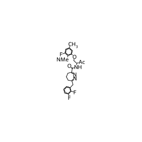 CNc1c(F)cc(C)cc1OCC(NC(=O)C1=NN=C(Cc2cccc(F)c2F)CCC1)C(C)=O